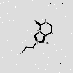 O=C1NCCc2c[n+](CCF)cn21.[Br-]